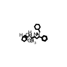 C=C1[C@@H]2CC[C@@]1(C)[C@@H](NC(=O)C1=NN(CC3CCCCC3)C(c3ccccc3)C1)C2